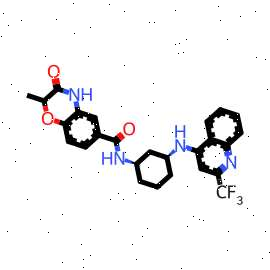 CC1Oc2ccc(C(=O)N[C@@H]3CCC[C@H](Nc4cc(C(F)(F)F)nc5ccccc45)C3)cc2NC1=O